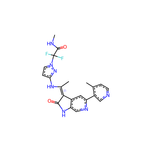 CNC(=O)C(F)(F)n1ccc(N/C(C)=C2\C(=O)Nc3cnc(-c4cnccc4C)cc32)n1